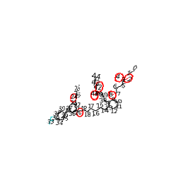 CCOC(=O)CCCOc1cccc(CCCCCCOc2cc(OCC)cc(-c3ccc(F)cc3)c2)c1CCC(=O)OCC